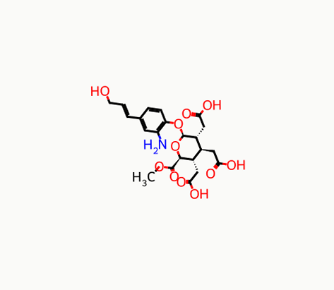 COC(=O)[C@H]1O[C@@H](Oc2ccc(C=CCO)cc2N)[C@H](CC(=O)O)[C@@H](CC(=O)O)[C@@H]1CC(=O)O